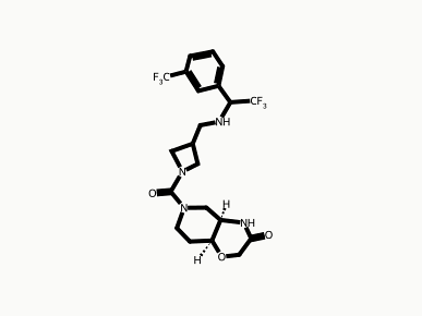 O=C1CO[C@H]2CCN(C(=O)N3CC(CNC(c4cccc(C(F)(F)F)c4)C(F)(F)F)C3)C[C@H]2N1